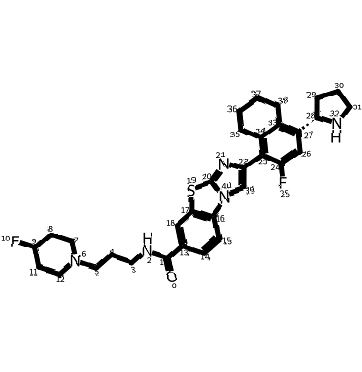 O=C(NCCCN1CCC(F)CC1)c1ccc2c(c1)sc1nc(-c3c(F)cc([C@@H]4CCCN4)c4c3CCCC4)cn12